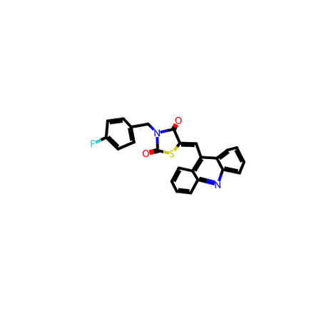 O=C1SC(=Cc2c3ccccc3nc3ccccc23)C(=O)N1Cc1ccc(F)cc1